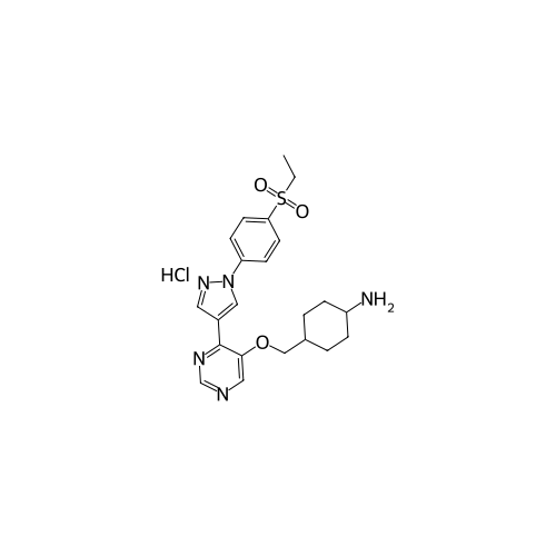 CCS(=O)(=O)c1ccc(-n2cc(-c3ncncc3OCC3CCC(N)CC3)cn2)cc1.Cl